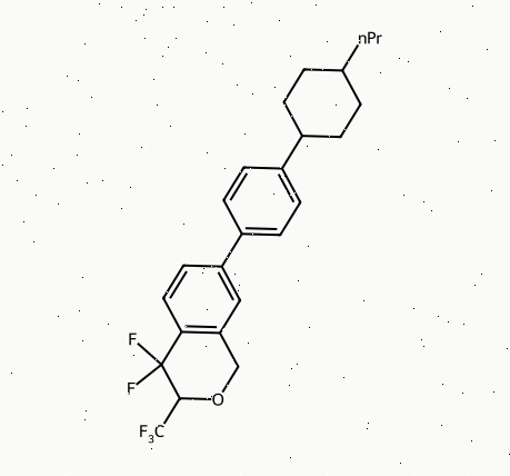 CCCC1CCC(c2ccc(-c3ccc4c(c3)COC(C(F)(F)F)C4(F)F)cc2)CC1